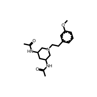 COc1cccc(CCN2CC(NC(C)=O)CC(NC(C)=O)C2)c1